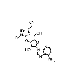 CC(C)N(C(C)C)P(OCCC#N)O[C@H]1[C@@H](O)[C@H](n2cnc3c(N)ncnc32)O[C@@H]1CO